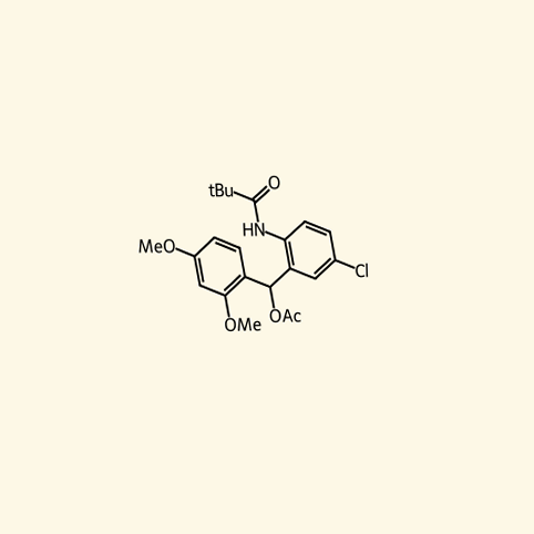 COc1ccc(C(OC(C)=O)c2cc(Cl)ccc2NC(=O)C(C)(C)C)c(OC)c1